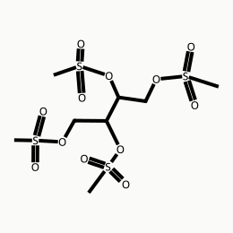 CS(=O)(=O)OCC(OS(C)(=O)=O)C(COS(C)(=O)=O)OS(C)(=O)=O